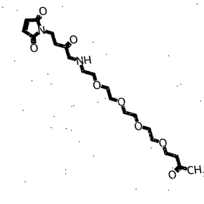 CC(=O)CCOCCOCCOCCOCCNCC(=O)CCN1C(=O)C=CC1=O